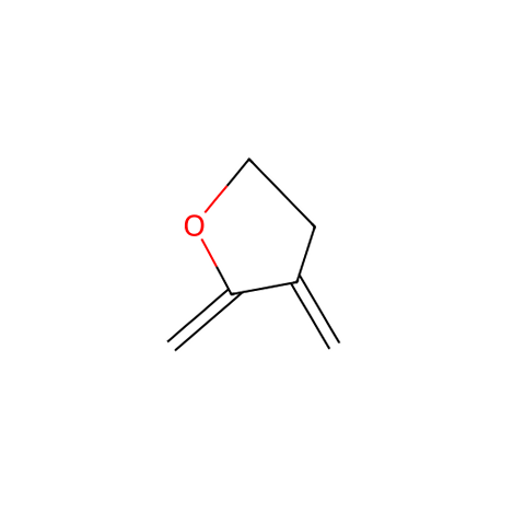 C=C1CCOC1=C